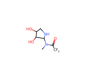 CN(C(=O)C(F)(F)F)C1NCC(O)C1O